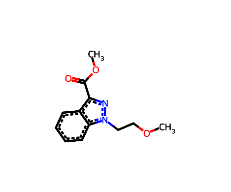 COCCn1nc(C(=O)OC)c2ccccc21